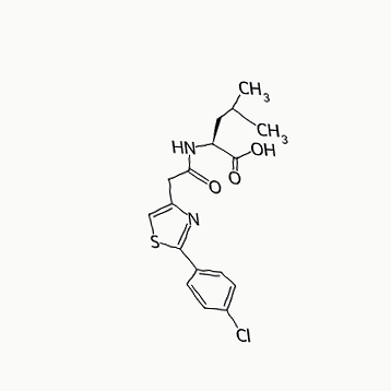 CC(C)C[C@H](NC(=O)Cc1csc(-c2ccc(Cl)cc2)n1)C(=O)O